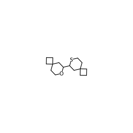 C1CC2(C1)CCOC(C1CC3(CCC3)CCS1)C2